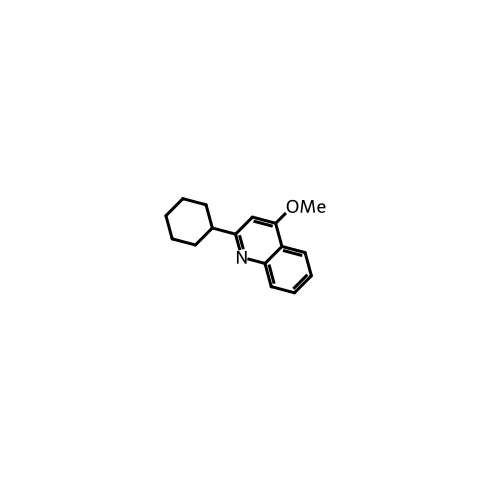 COc1cc(C2CCCCC2)nc2ccccc12